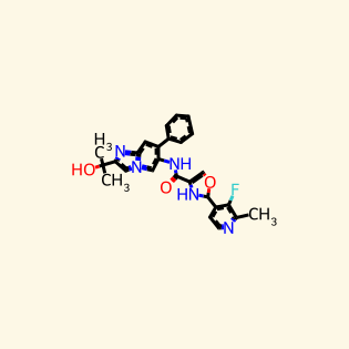 Cc1nccc(C2NC(C(=O)Nc3cn4cc(C(C)(C)O)nc4cc3-c3ccccc3)=CO2)c1F